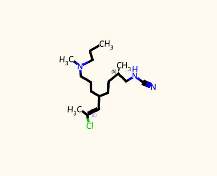 CCCN(C)CCCC(/C=C(\C)Cl)CC[C@H](C)CNC#N